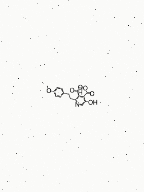 COc1ccc(CCc2ncc(O)c(C(=O)O)c2C(=O)O)cc1